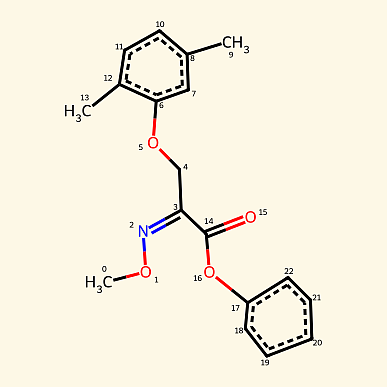 CON=C(COc1cc(C)ccc1C)C(=O)Oc1ccccc1